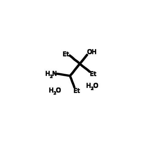 CCC(N)C(O)(CC)CC.O.O